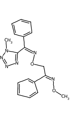 CO/N=C(/CON=C(c1ccccc1)c1nnnn1C)c1ccccc1